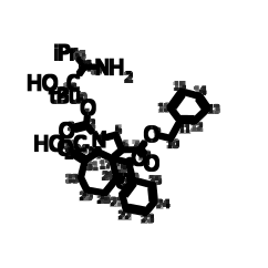 CC(C)(C)OC(=O)N1CC(C(=O)OCc2ccccc2)C2(C(=O)c3ccccc3)C(=O)CCCC(=O)[C@@]12C(=O)O.CC(C)[C@@H](N)C(=O)O